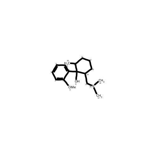 COc1ccccc1C1(O)C(C)CCCC1CN(C)C